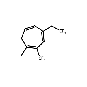 CC1=C(C(F)(F)F)C=C(CC(F)(F)F)C=CC1